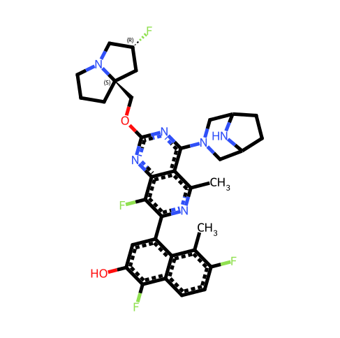 Cc1c(F)ccc2c(F)c(O)cc(-c3nc(C)c4c(N5CC6CCC(C5)N6)nc(OC[C@@]56CCCN5C[C@H](F)C6)nc4c3F)c12